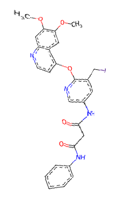 COc1cc2nccc(Oc3ncc(NC(=O)CC(=O)Nc4ccccc4)cc3CI)c2cc1OC